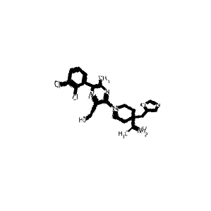 Cc1nc(N2CCC(Cc3cnco3)([C@H](C)N)CC2)c(CO)nc1-c1cccc(Cl)c1Cl